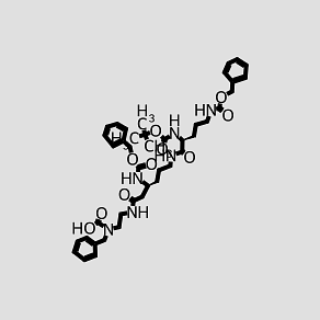 CC(C)(C)OC(=O)N[C@@H](CCCNC(=O)OCc1ccccc1)C(=O)NCCC[C@@H](CC(=O)NCCN(Cc1ccccc1)C(=O)O)NC(=O)OCc1ccccc1